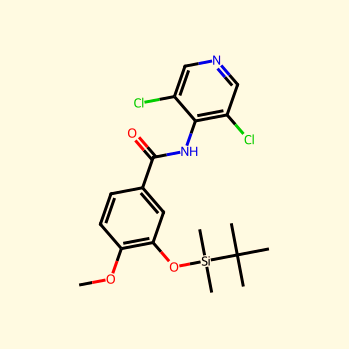 COc1ccc(C(=O)Nc2c(Cl)cncc2Cl)cc1O[Si](C)(C)C(C)(C)C